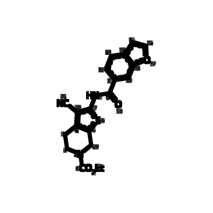 CCOC(=O)N1CCc2c(sc(NC(=O)c3ccc4ccoc4c3)c2C#N)C1